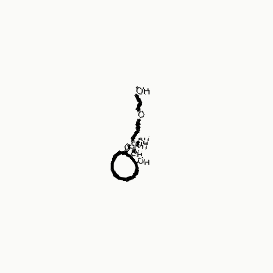 OCCCOCCC[Si](O)(O)OC1CCCCCCCCCC[C@@H](O)C1